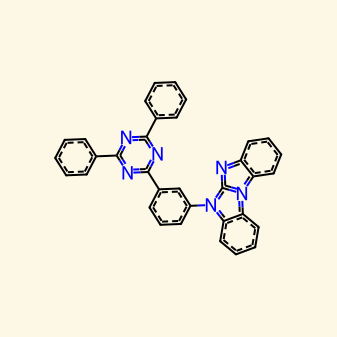 c1ccc(-c2nc(-c3ccccc3)nc(-c3cccc(-n4c5ccccc5n5c6ccccc6nc45)c3)n2)cc1